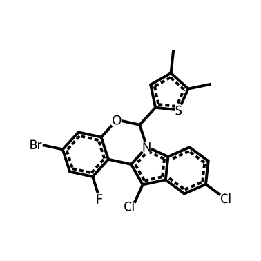 Cc1cc(C2Oc3cc(Br)cc(F)c3-c3c(Cl)c4cc(Cl)ccc4n32)sc1C